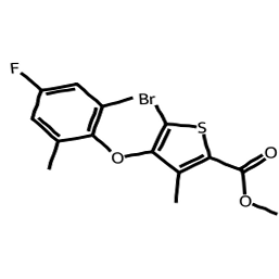 COC(=O)c1sc(Br)c(Oc2c(C)cc(F)cc2C)c1C